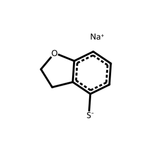 [Na+].[S-]c1cccc2c1CCO2